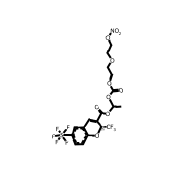 CC(OC(=O)OCCOCCO[N+](=O)[O-])OC(=O)C1=Cc2cc(S(F)(F)(F)(F)F)ccc2O[C@@H]1C(F)(F)F